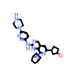 O=C1CCC(c2cc3cnc(Nc4ccc(N5CCNCC5)nn4)nc3c(N3C4CCC3CC4)n2)C1